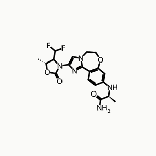 C[C@H](Nc1ccc2c(c1)OCCn1cc(N3C(=O)O[C@H](C)C3C(F)F)nc1-2)C(N)=O